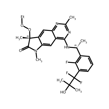 CCOO[C@@]1(C)C(=O)N(C)c2cc3c(N[C@H](C)c4cccc(C(F)(F)C(C)(C)O)c4F)nc(C)nc3cc21